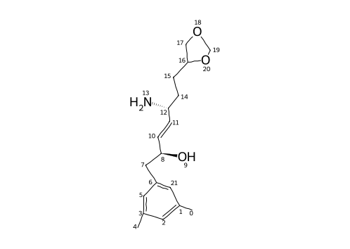 Cc1cc(C)cc(C[C@H](O)/C=C/[C@H](N)CCC2COCO2)c1